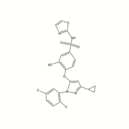 N#Cc1cc(S(=O)(=O)Nc2nccs2)ccc1Oc1cc(C2CC2)nn1-c1cc(F)ccc1F